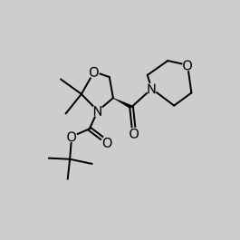 CC(C)(C)OC(=O)N1[C@H](C(=O)N2CCOCC2)COC1(C)C